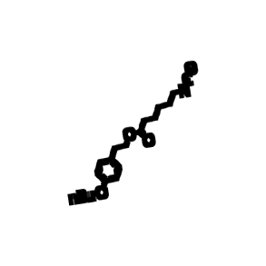 CCCCOc1ccc(CCOC(=O)CCCCCN=C=O)cc1